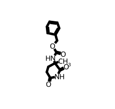 CC1(NC(=O)OCc2ccccc2)CCC(=O)NC1=O